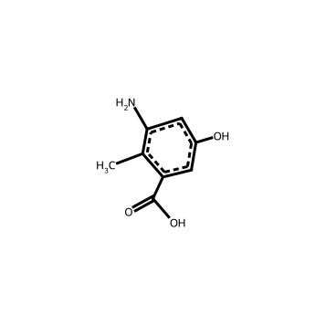 Cc1c(N)cc(O)cc1C(=O)O